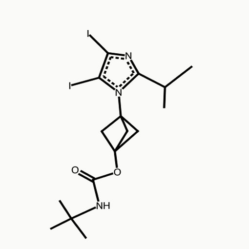 CC(C)c1nc(I)c(I)n1C12CC(OC(=O)NC(C)(C)C)(C1)C2